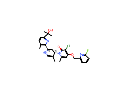 CC1=CN[C@@H](c2nc(C(C)(C)O)ccc2C)C[C@H]1n1c(C)cc(OCc2cccc(F)n2)c(Cl)c1=O